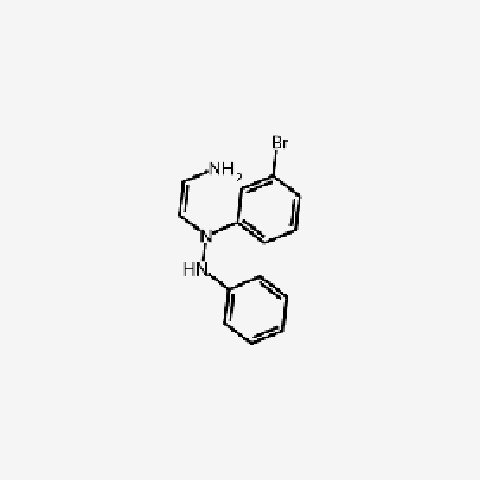 N/C=C\N(Nc1ccccc1)c1cccc(Br)c1